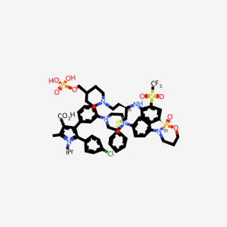 Cc1c(C(=O)O)c(-c2cccc(N3CCN(c4ccc(N5CCCO[P@@]5(=O)c5ccc(N[C@H](CCN6CCC(COP(=O)(O)O)CC6)CSc6ccccc6)c(S(=O)(=O)C(F)(F)F)c5)cc4)CC3)c2)c(-c2ccc(Cl)cc2)n1C(C)C